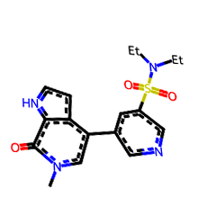 CCN(CC)S(=O)(=O)c1cncc(-c2cn(C)c(=O)c3[nH]ccc23)c1